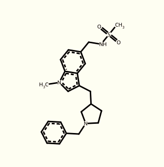 Cn1cc(CC2CCN(Cc3ccccc3)C2)c2cc(CNS(C)(=O)=O)ccc21